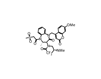 CN[C@@H](C)CN(C(=O)C(F)(F)F)[C@@H]1C(=O)N(Cc2cc(=O)oc3cc(OC)ccc23)c2ccccc2N(C(=O)CS(C)(=O)=O)[C@H]1C